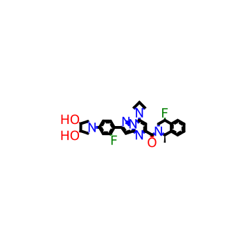 C[C@@H]1c2ccccc2[C@H](F)CN1C(=O)c1cc(N2CCC2)n2nc(-c3ccc(N4C[C@@H](O)[C@H](O)C4)cc3F)cc2n1